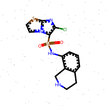 O=S(=O)(Nc1cccc2c1CNCC2)c1c(Cl)nc2sccn12